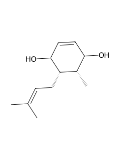 CC(C)=CC[C@@H]1C(O)C=CC(O)[C@@H]1C